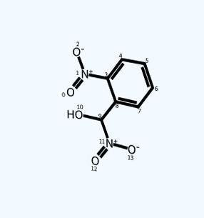 O=[N+]([O-])c1ccccc1C(O)[N+](=O)[O-]